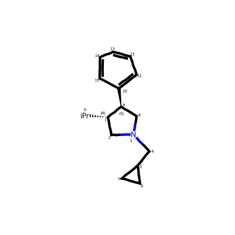 CC(C)[C@H]1CN(CC2CC2)C[C@@H]1c1ccccc1